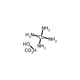 O=C(O)O.[NH2][Co]([NH2])([NH2])[NH2]